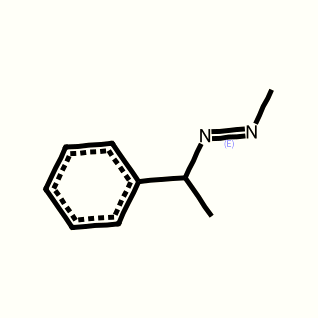 C/N=N/C(C)c1ccccc1